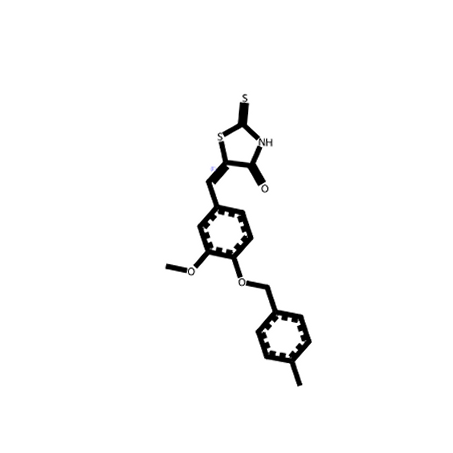 COc1cc(/C=C2/SC(=S)NC2=O)ccc1OCc1ccc(C)cc1